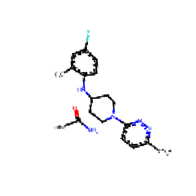 CCCCC(N)=O.O=C(O)c1ccc(N2CCC(Nc3ccc(F)cc3C(F)(F)F)CC2)nn1